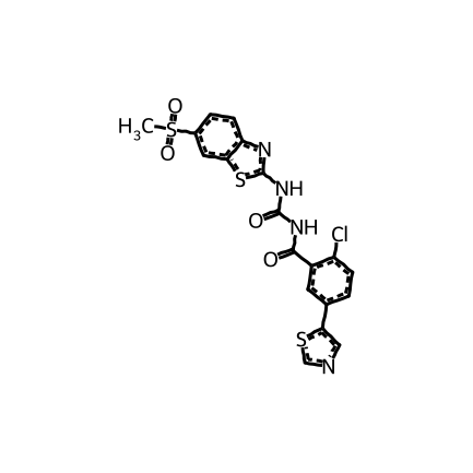 CS(=O)(=O)c1ccc2nc(NC(=O)NC(=O)c3cc(-c4cncs4)ccc3Cl)sc2c1